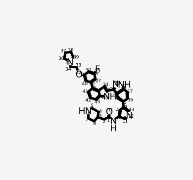 O=C(CC1CCNCC1)Nc1cncc(-c2ccc3[nH]nc(-c4cc5c(-c6cc(F)cc(OCCN7CCCC7)c6)cccc5[nH]4)c3c2)c1